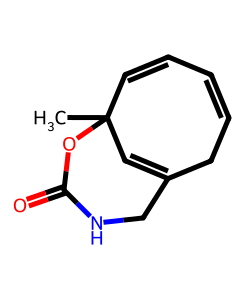 CC12C=C(C/C=C\C=C/1)CNC(=O)O2